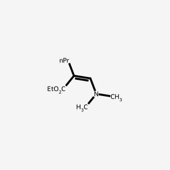 CCCC(=CN(C)C)C(=O)OCC